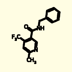 Cc1cc(C(F)(F)F)c(C(=O)NCc2ccccc2)cn1